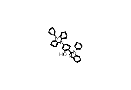 Oc1cc(N2c3ccccc3N(c3ccccc3)c3ccccc32)ccc1-c1nc2ccccc2n1-c1ccccc1